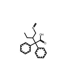 C=NCC(CC)C(C(=O)O)(c1ccccc1)c1ccccc1